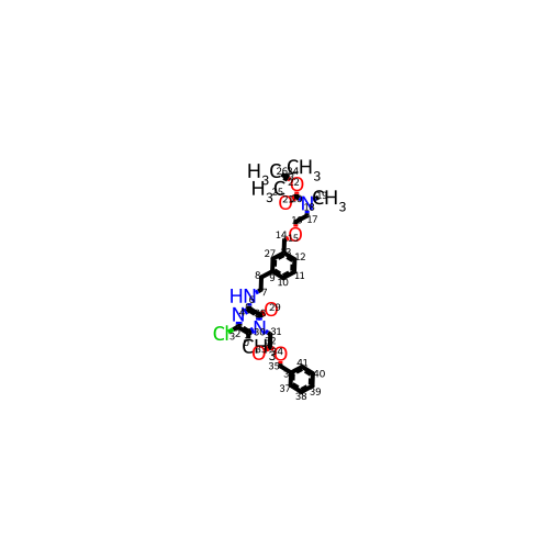 Cc1c(Cl)nc(NCCc2cccc(COCCN(C)C(=O)OC(C)(C)C)c2)c(=O)n1CC(=O)OCc1ccccc1